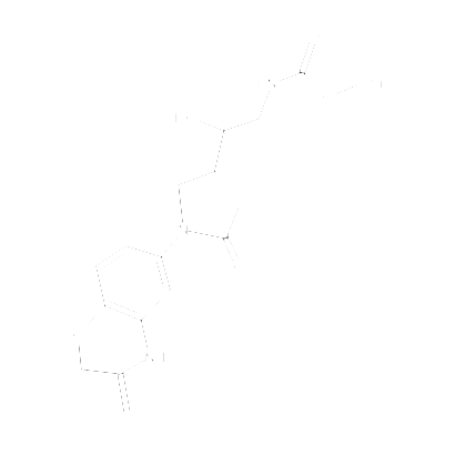 CC(C)(C)OC(=O)NCC(O)C1CN(c2ccc3c(c2)NC(=O)CO3)C(=O)O1